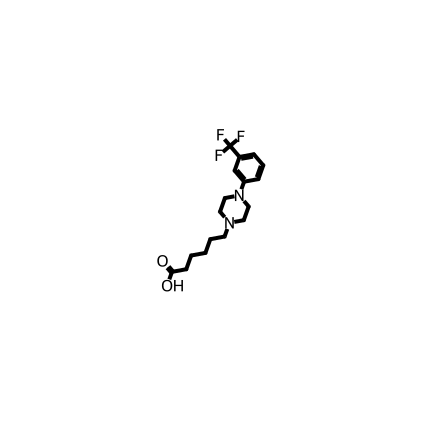 O=C(O)CCCCCN1CCN(c2cccc(C(F)(F)F)c2)CC1